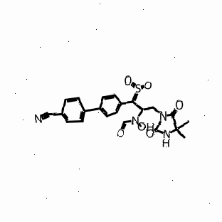 CC1(C)NC(=O)N(CC(C(c2ccc(-c3ccc(C#N)cc3)cc2)=S(=O)=O)N(O)C=O)C1=O